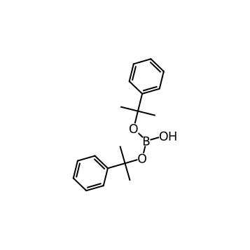 CC(C)(OB(O)OC(C)(C)c1ccccc1)c1ccccc1